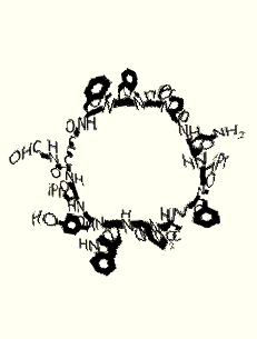 CCC[C@H]1C(=O)N2CCC[C@@H]2C(=O)N[C@@H](CCN)C(=O)N[C@@H](C(C)C)C(=O)N(C)[C@@H](Cc2ccccc2)C(=O)N[C@@H](CC(=O)O)C(=O)N2CCC[C@@H]2C(=O)N[C@@H](Cc2c[nH]c3ccccc23)C(=O)N[C@@H](Cc2ccc(O)cc2)C(=O)N[C@@H](CC(C)C)C(=O)N[C@H](C(=O)NCC=O)CSCC(=O)N[C@@H](Cc2ccccc2)C(=O)N(C)[C@@H](Cc2ccccc2)C(=O)N1C